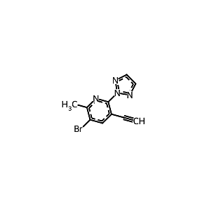 C#Cc1cc(Br)c(C)nc1-n1nccn1